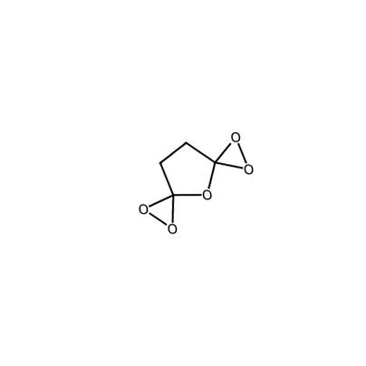 C1CC2(OO2)OC12OO2